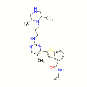 Cc1cnc(NCCCN2C(C)CNCC2C)nc1-c1cc2c(C(=O)NC3CC3)cccc2s1